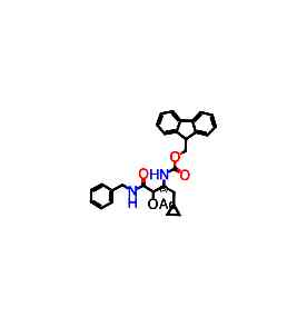 CC(=O)OC(C(=O)NCc1ccccc1)[C@H](CC1CC1)NC(=O)OCC1c2ccccc2-c2ccccc21